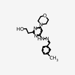 Cc1cccc(/C=N\Nc2cc(N3CCOCC3)nc(CCO)n2)c1